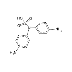 Nc1ccc(N(c2ccc(N)cc2)S(=O)(=O)O)cc1